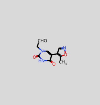 Cc1oncc1-c1cn(CC=O)c(=O)[nH]c1=O